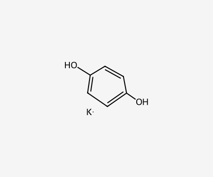 Oc1ccc(O)cc1.[K]